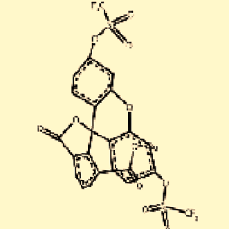 CCCCOC(=O)c1cccc2c1C1(OC2=O)c2ccc(OS(=O)(=O)C(F)(F)F)cc2Oc2cc(OS(=O)(=O)C(F)(F)F)ccc21